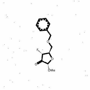 CO[C@H]1O[C@H](COCc2ccccc2)[C@@H](F)C1=O